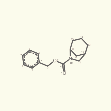 O=C(OCc1ccccc1)N1CC2CCCC1C2